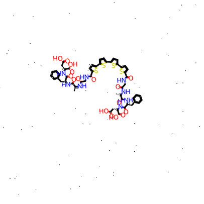 C[C@H](NC(=O)CNC(=O)c1ccc(-c2ccc(-c3ccc(-c4ccc(C(=O)NCC(=O)N[C@@H](C)C(=O)N[C@@H](Cc5ccccc5)C(=O)N[C@@H](CC(=O)O)C(=O)O)s4)s3)s2)s1)C(=O)N[C@@H](Cc1ccccc1)C(=O)N[C@@H](CC(=O)O)C(=O)O